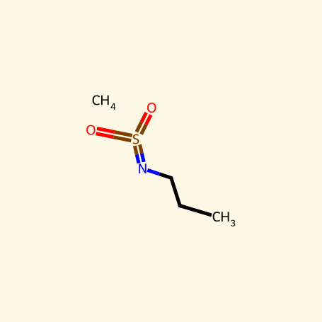 C.CCCN=S(=O)=O